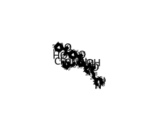 O=C(c1ccccc1)C(O)c1ccc(C(=O)n2nc(-c3ccn(CCc4cncnc4)c(=O)c3O)cc2NCc2ccc(Cl)s2)cc1